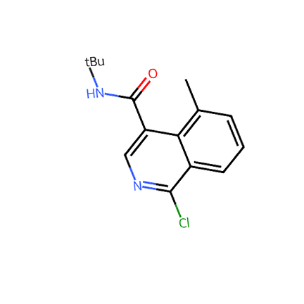 Cc1cccc2c(Cl)ncc(C(=O)NC(C)(C)C)c12